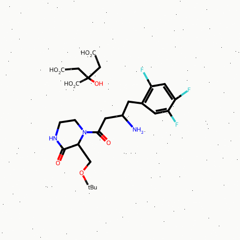 CC(C)(C)OCC1C(=O)NCCN1C(=O)CC(N)Cc1cc(F)c(F)cc1F.O=C(O)CC(O)(CC(=O)O)C(=O)O